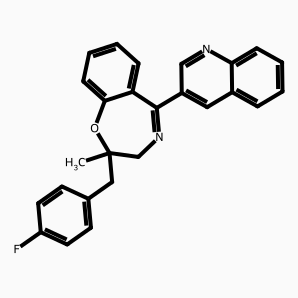 CC1(Cc2ccc(F)cc2)CN=C(c2cnc3ccccc3c2)c2ccccc2O1